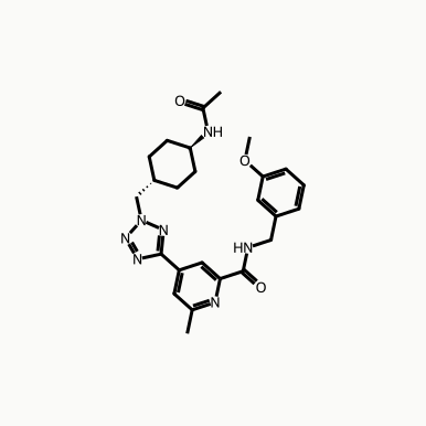 COc1cccc(CNC(=O)c2cc(-c3nnn(C[C@H]4CC[C@H](NC(C)=O)CC4)n3)cc(C)n2)c1